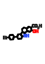 CCc1ccc(-c2ccc3[nH]c4c(c3c2)CCc2cc(C(=O)O)c(O)cc2-4)cc1